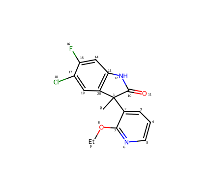 [CH2]C1(c2cccnc2OCC)C(=O)Nc2cc(F)c(Cl)cc21